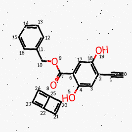 C#Cc1cc(O)c(C(=O)OCc2ccccc2)cc1O.c1cc2ccc1-2